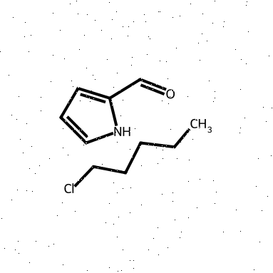 CCCCCCl.O=Cc1ccc[nH]1